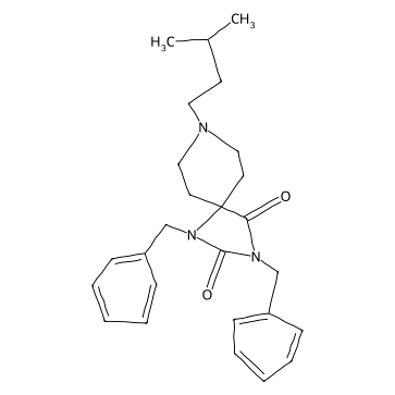 CC(C)CCN1CCC2(CC1)C(=O)N(Cc1ccccc1)C(=O)N2Cc1ccccc1